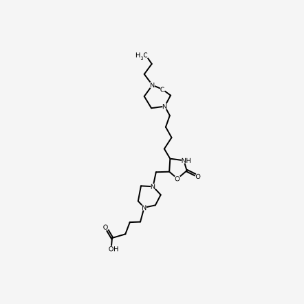 CCCN1CCN(CCCCC2NC(=O)OC2CN2CCN(CCCC(=O)O)CC2)CC1